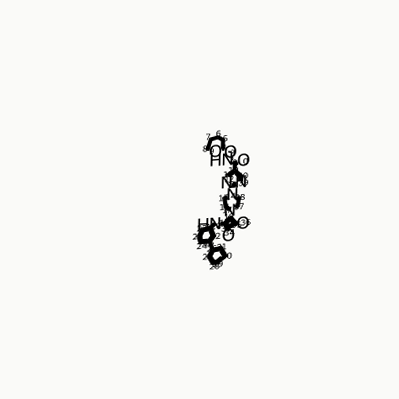 O=C(NOC1CCCCO1)c1cnc(N2CCN(c3c(Nc4cccc(-c5ccccc5)c4)c(=O)c3=O)CC2)nc1